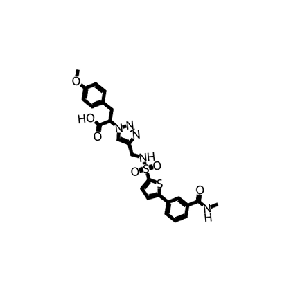 CNC(=O)c1cccc(-c2ccc(S(=O)(=O)NCc3cn(C(Cc4ccc(OC)cc4)C(=O)O)nn3)s2)c1